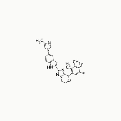 Cc1cn(-c2ccc3[nH]c(-c4nc5n(n4)CCOC5c4cc(F)c(F)c(C)c4C)cc3c2)cn1